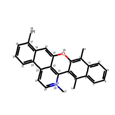 Cc1c2c(c(C)c3ccccc13)-c1c3c(cc4c(C(C)C)cccc4c3cc[n+]1C)O2